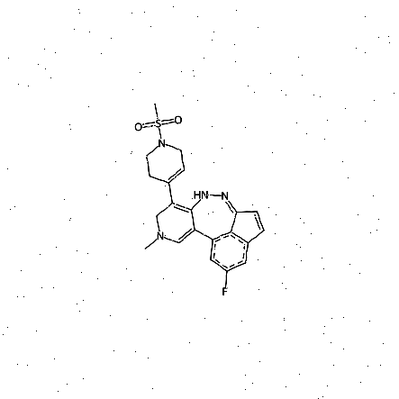 CN1C=C2C(=C(C3=CCN(S(C)(=O)=O)CC3)C1)NN=C1C=Cc3cc(F)cc2c31